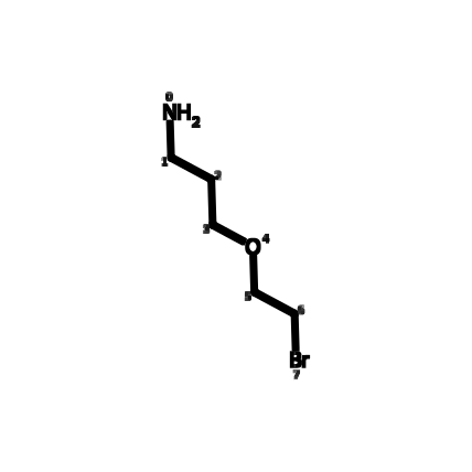 NCCCOCCBr